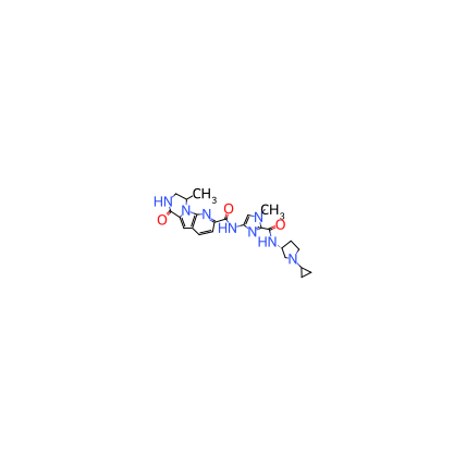 CC1CNC(=O)c2cc3ccc(C(=O)Nc4cn(C)c(C(=O)N[C@@H]5CCN(C6CC6)C5)n4)nc3n21